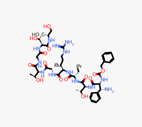 CC[C@H](C)[C@H](NC(=O)[C@@H](CCCNC(=N)N)NC(=O)[C@H](CC(C)C)NC(=O)[C@@H](NC(=O)[C@@H](NC(=O)OCc1ccccc1)[C@H](N)c1ccccc1)[C@@H](C)O)C(=O)N[C@H](C(=O)NCC(=O)N[C@@H](CO)C(=O)N[C@@H](CO)C(=O)O)[C@H](C)O